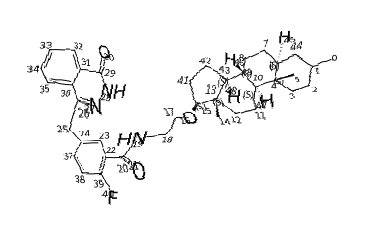 CC1CC[C@@]2(C)[C@@H](CC[C@@H]3[C@@H]2CC[C@]2(C)[C@@H](OCCNC(=O)c4cc(Cc5n[nH]c(=O)c6ccccc56)ccc4F)CC[C@@H]32)C1